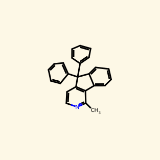 Cc1nccc2c1-c1ccccc1C2(c1ccccc1)c1ccccc1